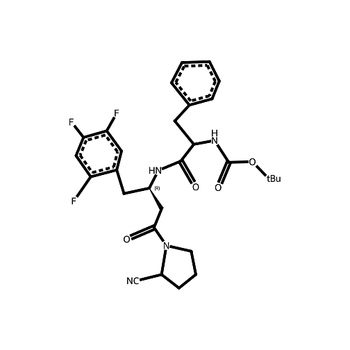 CC(C)(C)OC(=O)NC(Cc1ccccc1)C(=O)N[C@@H](CC(=O)N1CCCC1C#N)Cc1cc(F)c(F)cc1F